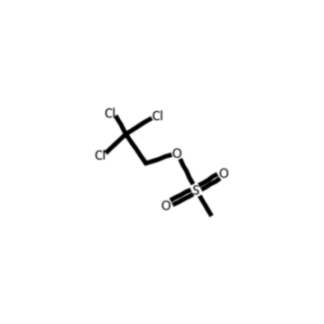 CS(=O)(=O)OCC(Cl)(Cl)Cl